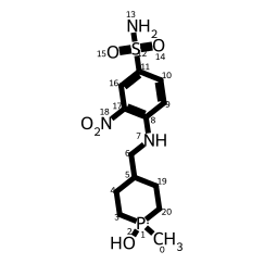 C[P]1(O)CCC(CNc2ccc(S(N)(=O)=O)cc2[N+](=O)[O-])CC1